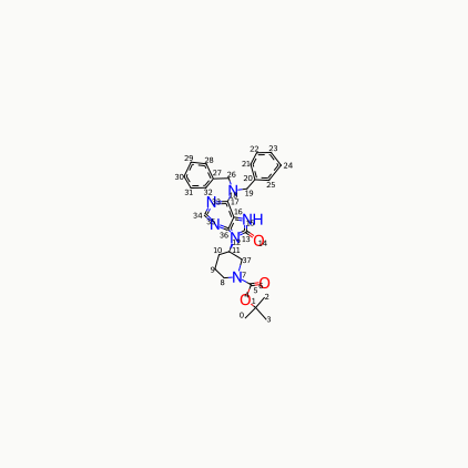 CC(C)(C)OC(=O)N1CCC[C@@H](n2c(=O)[nH]c3c(N(Cc4ccccc4)Cc4ccccc4)ncnc32)C1